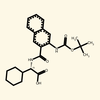 CC(C)(C)OC(=O)Nc1cc2ccccc2cc1C(=O)N[C@H](C(=O)O)C1CCCCC1